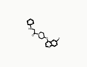 O=C(CNc1ccccc1)N1CCC(Oc2ccnc3ccc(F)cc23)CC1